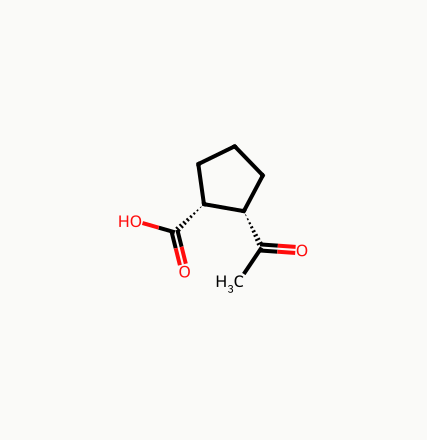 CC(=O)[C@H]1CCC[C@H]1C(=O)O